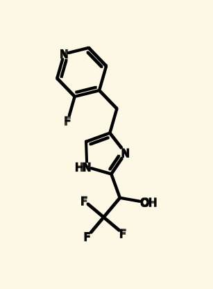 OC(c1nc(Cc2ccncc2F)c[nH]1)C(F)(F)F